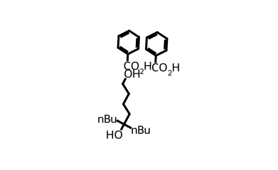 CCCCC(O)(CCCC)CCCCO.O=C(O)c1ccccc1.O=C(O)c1ccccc1